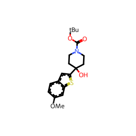 COc1ccc2cc(C3(O)CCN(C(=O)OC(C)(C)C)CC3)sc2c1